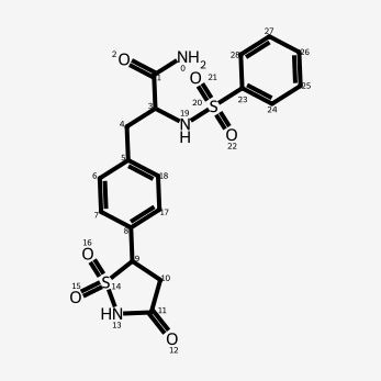 NC(=O)C(Cc1ccc(C2CC(=O)NS2(=O)=O)cc1)NS(=O)(=O)c1ccccc1